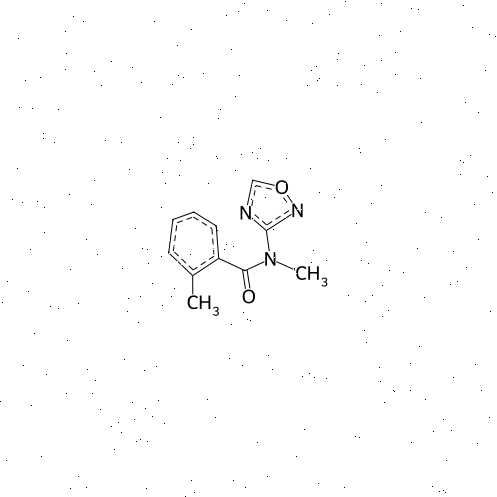 Cc1ccccc1C(=O)N(C)c1ncon1